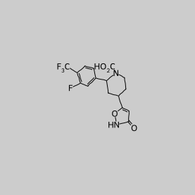 O=C(O)N1CCC(c2cc(=O)[nH]o2)CC1c1ccc(C(F)(F)F)c(F)c1